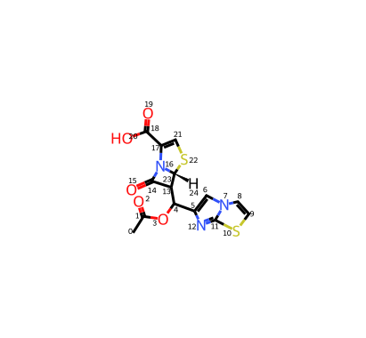 CC(=O)OC(c1cn2ccsc2n1)C1C(=O)N2C(C(=O)O)=CS[C@H]12